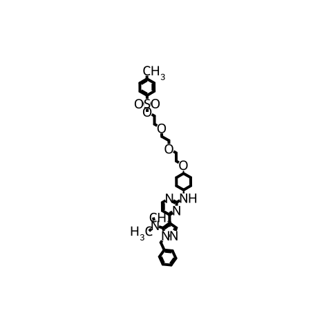 Cc1ccc(S(=O)(=O)OCCOCCOCCO[C@H]2CC[C@H](Nc3nccc(-c4cnn(Cc5ccccc5)c4N(C)C)n3)CC2)cc1